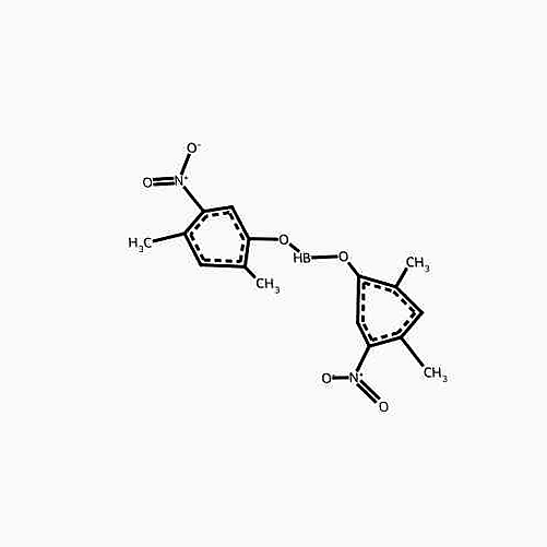 Cc1cc(C)c([N+](=O)[O-])cc1OBOc1cc([N+](=O)[O-])c(C)cc1C